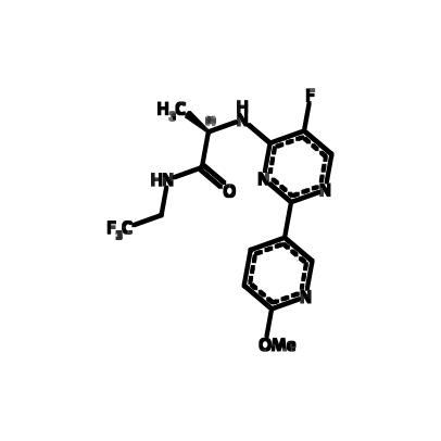 COc1ccc(-c2ncc(F)c(N[C@H](C)C(=O)NCC(F)(F)F)n2)cn1